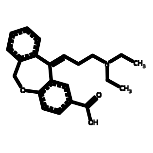 CCN(CC)CCC=C1c2ccccc2COc2ccc(C(=O)O)cc21